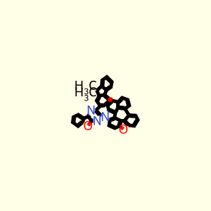 CC1(C)c2ccccc2-c2ccc(-c3nc4c(nc3-n3c5ccc6cccc7c6c5c5c6c(ccc53)oc3cccc-7c36)oc3ccccc34)cc21